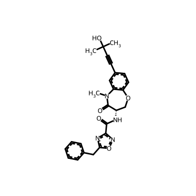 CN1C(=O)[C@@H](NC(=O)c2noc(Cc3ccccc3)n2)COc2ccc(C#CC(C)(C)O)cc21